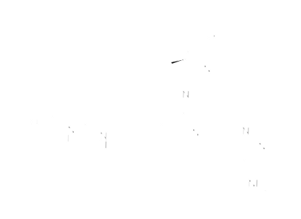 C[C@H]1COCCN1c1nc(-c2ccc(Nc3cccc(=O)[nH]3)cc2)nc2c1CCn1nc(N)cc1-2